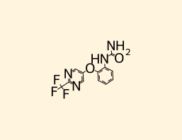 NC(=O)Nc1ccccc1Oc1cnc(C(F)(F)F)nc1